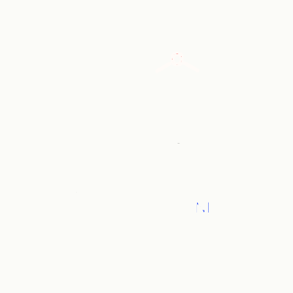 C1=CC2(C=CO1)CNC1=CCCCC12